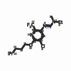 CCN(C)/C=N/c1cc(Cl)c(OCCCC(C)C)nc1C(F)(F)F